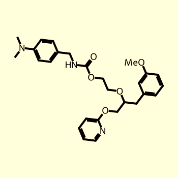 COc1cccc(CC(COc2ccccn2)OCCOC(=O)NCc2ccc(N(C)C)cc2)c1